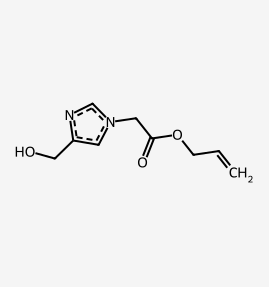 C=CCOC(=O)Cn1cnc(CO)c1